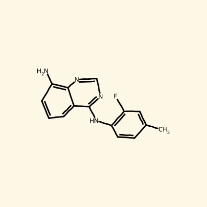 Cc1ccc(Nc2ncnc3c(N)cccc23)c(F)c1